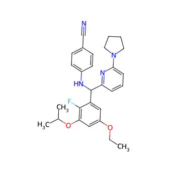 CCOc1cc(OC(C)C)c(F)c(C(Nc2ccc(C#N)cc2)c2cccc(N3CCCC3)n2)c1